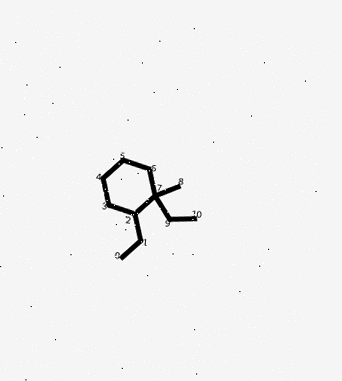 CCC1CCCCC1(C)CC